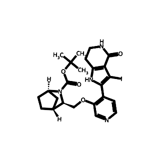 CC(C)(C)OC(=O)N1[C@@H]2CC[C@H](C2)[C@@H]1COc1cnccc1-c1[nH]c2c(c1I)C(=O)NCC2